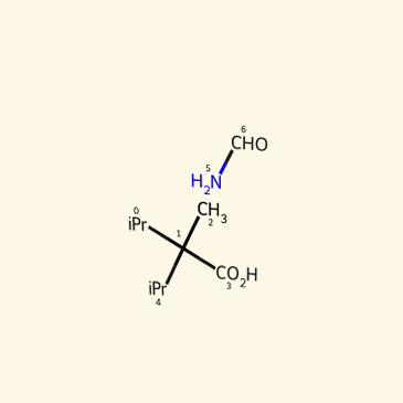 CC(C)C(C)(C(=O)O)C(C)C.NC=O